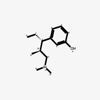 CC[C@H](c1cccc(O)c1)[C@H](C)C[As](C)C